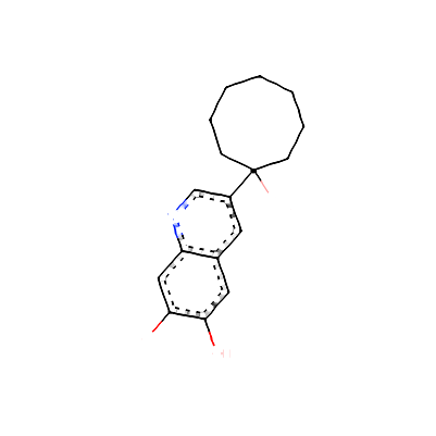 BC1(c2cnc3cc(O)c(O)cc3c2)CCCCCCC1